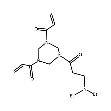 C=CC(=O)N1CN(C(=O)C=C)CN(C(=O)CCN(CC)CC)C1